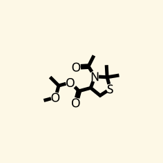 COC(C)OC(=O)C1CSC(C)(C)N1C(C)=O